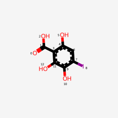 O=C(O)c1c(O)cc(I)c(O)c1O